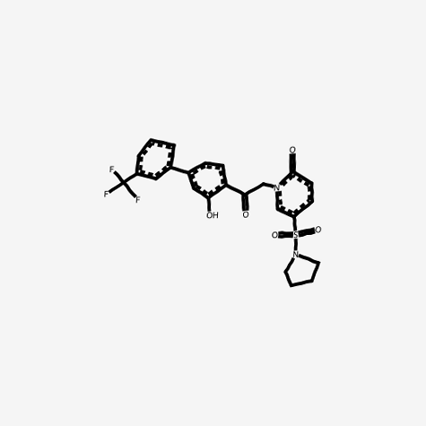 O=C(Cn1cc(S(=O)(=O)N2CCCC2)ccc1=O)c1ccc(-c2cccc(C(F)(F)F)c2)cc1O